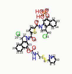 O=C(NCCSSc1ccccn1)Oc1cc2c(c3ccccc13)[C@H](CCl)CN2C(=O)c1ccc(C(=O)N2CC(CCl)c3c2cc(OP(=O)(O)O)c2ccccc32)s1